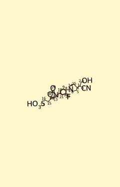 N#CC(CO)C1CCN(c2ccc(N3C[C@@H](CCS(=O)(=O)O)OC3=O)cc2F)CC1